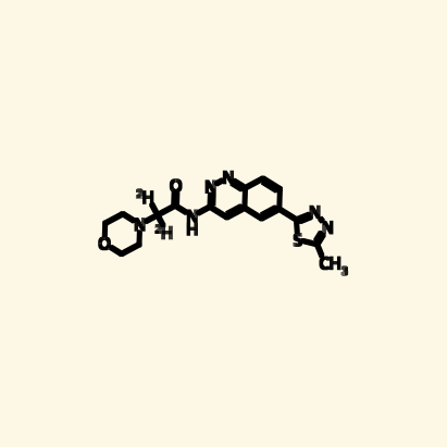 [2H]C([2H])(C(=O)Nc1cc2cc(-c3nnc(C)s3)ccc2nn1)N1CCOCC1